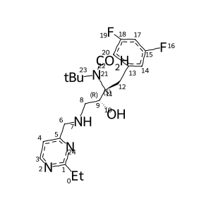 CCc1nccc(CNC[C@@H](O)[C@H](Cc2cc(F)cc(F)c2)N(C(=O)O)C(C)(C)C)n1